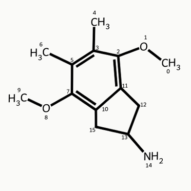 COc1c(C)c(C)c(OC)c2c1CC(N)C2